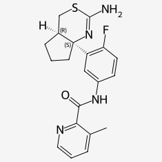 Cc1cccnc1C(=O)Nc1ccc(F)c([C@]23CCC[C@H]2CSC(N)=N3)c1